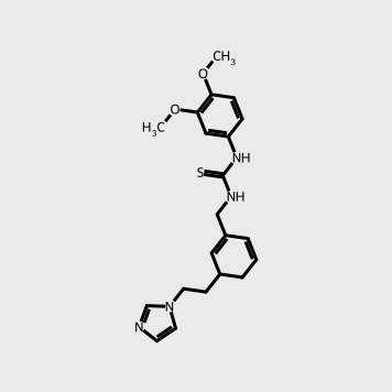 COc1ccc(NC(=S)NCC2=CC(CCn3ccnc3)CC=C2)cc1OC